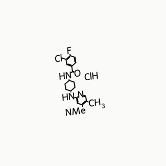 CNc1cc(N[C@H]2CC[C@@H](NC(=O)c3ccc(F)c(Cl)c3)CC2)ncc1C.Cl